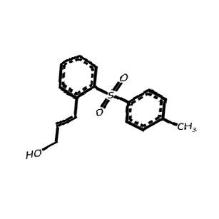 Cc1ccc(S(=O)(=O)c2ccccc2C=CCO)cc1